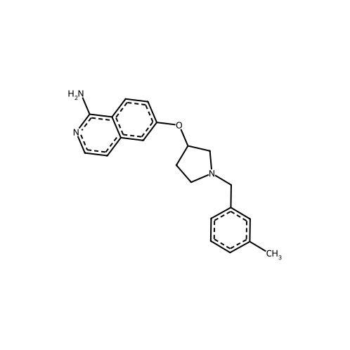 Cc1cccc(CN2CCC(Oc3ccc4c(N)nccc4c3)C2)c1